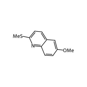 COc1ccc2nc(SC)ccc2c1